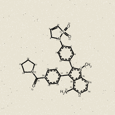 Cn1c(-c2ccc(N3CC=CS3(=O)=O)cc2)c(-c2ccc(C(=O)N3CCCC3)cc2)c2c(N)ncnc21